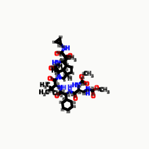 CCC12CC[C@H]3CN(C(=O)[C@@H](NC(=O)[C@@H](NC(=O)[C@H](CNC(=O)OC)NC(=O)OC)C4CCCCC4)C(C)(C)C)[C@H](C(=O)N[C@@H]1C(=O)C(=O)NC1CC1)[C@H]32